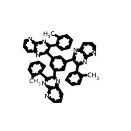 Cc1ccccc1-c1nc2ncccc2nc1-c1cc(-c2nc3cccnc3nc2-c2ccccc2C)cc(-c2nc3cccnc3nc2-c2ccccc2C)c1